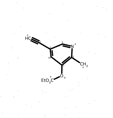 C#Cc1cnc(C)c(OC(=O)OCC)c1